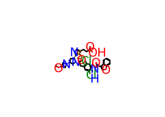 COC1CN([C@H]2C[C@@H](c3ncc(CCC(=O)O)s3)N(C(=O)Cc3cc(Cl)c(NC(=O)c4coc5ccccc45)cc3Cl)C2)C1